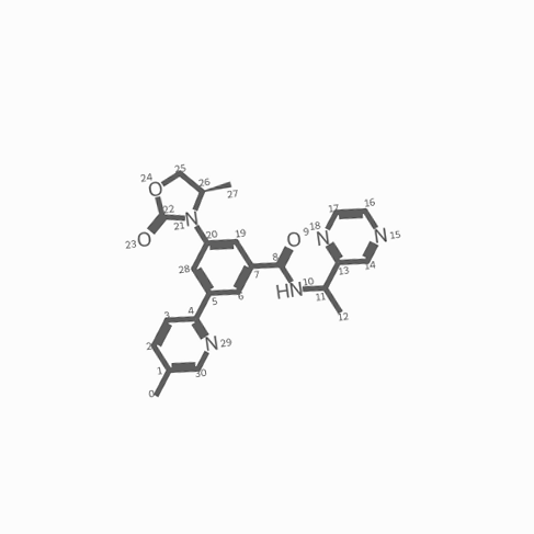 Cc1ccc(-c2cc(C(=O)NC(C)c3cnccn3)cc(N3C(=O)OC[C@H]3C)c2)nc1